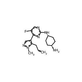 C=CCc1c(-c2nc(N[C@H]3CC[C@H](N)CC3)ncc2F)cnn1C